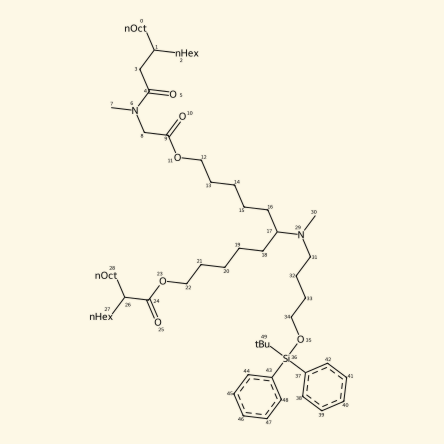 CCCCCCCCC(CCCCCC)CC(=O)N(C)CC(=O)OCCCCCC(CCCCCOC(=O)C(CCCCCC)CCCCCCCC)N(C)CCCCO[Si](c1ccccc1)(c1ccccc1)C(C)(C)C